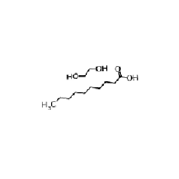 CCCCCCCCCC(=O)O.OCCO